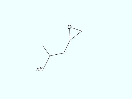 [CH2]CCC(C)CC1CO1